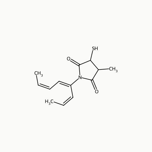 C\C=C/C=C(\C=C/C)N1C(=O)C(C)C(S)C1=O